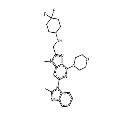 Cc1nc2ccccc2n1-c1nc(N2CCOCC2)c2nc(CNC3CCC(F)(F)CC3)n(C)c2n1